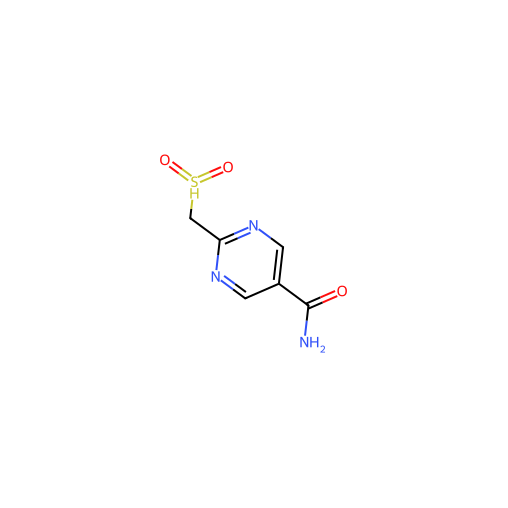 NC(=O)c1cnc(C[SH](=O)=O)nc1